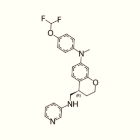 CN(c1ccc(OC(F)F)cc1)c1ccc2c(c1)OCC[C@H]2CNc1cccnc1